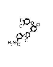 NC(=O)c1cccc(N2C[C@@H](c3ccc(Cl)c(Oc4ccc(F)c(Cl)c4)c3)CC2=O)c1